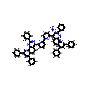 [C-]#[N+]c1c(-c2ccccc2)nc2c(ccc3c(-c4ccccc4)cc(-c4ccccc4)nc32)c1-c1cccc(-c2cccc(-c3nc(-c4ccccc4)nc4c3ccc3c(-c5ccccc5)cc(-c5ccccc5)nc34)n2)n1